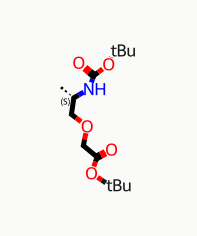 C[C@@H](COCC(=O)OC(C)(C)C)NC(=O)OC(C)(C)C